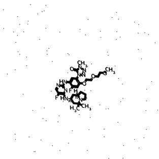 COCCOCCOc1cc(F)c(Nc2ncc(F)c(N[C@@H]3C[C@@H]4CCCN4C(C)(C)C3)n2)cc1-n1nnn(C)c1=O